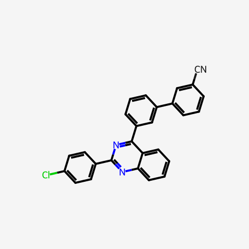 N#Cc1cccc(-c2cccc(-c3nc(-c4ccc(Cl)cc4)nc4ccccc34)c2)c1